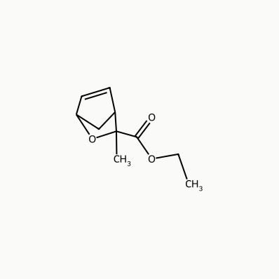 CCOC(=O)C1(C)OC2C=CC1C2